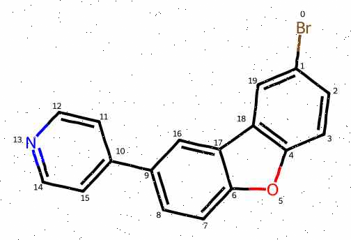 Brc1ccc2oc3ccc(-c4ccncc4)cc3c2c1